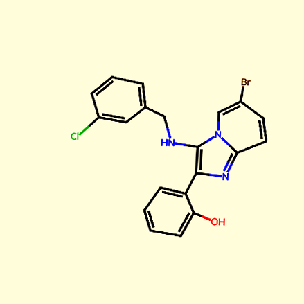 Oc1ccccc1-c1nc2ccc(Br)cn2c1NCc1cccc(Cl)c1